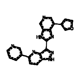 c1cncc(-c2ccc3[nH]nc(-c4nc5c(-c6ccoc6)cncc5[nH]4)c3n2)c1